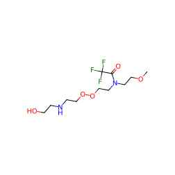 COCCN(CCOOCCNCCO)C(=O)C(F)(F)F